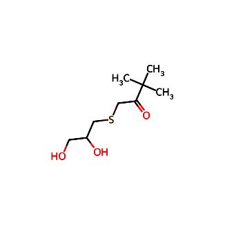 CC(C)(C)C(=O)CSCC(O)CO